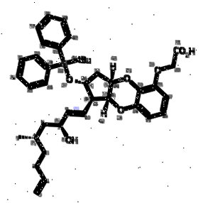 C=CCC[C@H](C)C[C@H](O)/C=C/[C@@H]1[C@H]2Oc3cccc(OCC(=O)O)c3O[C@H]2C[C@H]1O[Si](c1ccccc1)(c1ccccc1)C(C)(C)C